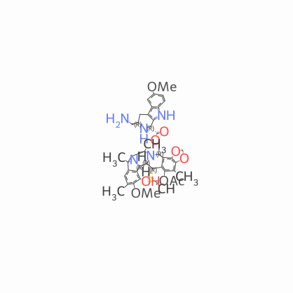 C#CS[C@@H]1c2c(OC(C)=O)c(C)c3c(c2[C@H](COC(=O)[C@@H]2N[C@@H](CN)Cc4c2[nH]c2ccc(OC)cc42)N2[C@@H]1[C@H]1c4c(cc(C)c(OC)c4O)C4(C)CC2(C)CN14)OCO3